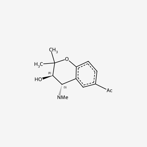 CN[C@H]1c2cc(C(C)=O)ccc2OC(C)(C)[C@@H]1O